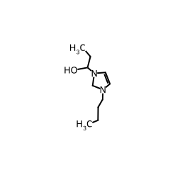 CCCCN1C=CN(C(O)CC)C1